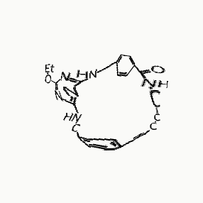 CCOc1nc2nc(n1)Nc1ccc(cc1)C(=O)NCCCC=Cc1ccc(cc1)CN2